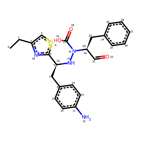 CCc1csc([C@H](Cc2ccc(N)cc2)NN(C(=O)O)[C@H](C=O)Cc2ccccc2)n1